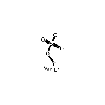 O=S(=O)([O-])OF.[Li+].[Mn]